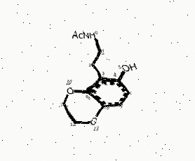 CC(=O)NCCc1c(O)ccc2c1OCCO2